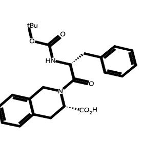 CC(C)(C)OC(=O)N[C@H](Cc1ccccc1)C(=O)N1Cc2ccccc2C[C@H]1C(=O)O